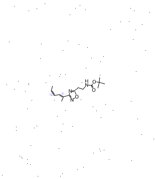 C/C=C\C=C(/C)c1noc(CCNC(=O)OC(C)(C)C)n1